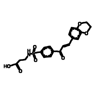 O=C(O)CCNS(=O)(=O)c1ccc(C(=O)/C=C/c2ccc3c(c2)OCCO3)cc1